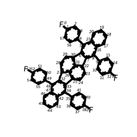 Fc1ccc(-c2c3c(c(-c4ccc(F)cc4)c4ccccc24)-c2ccc4c5c(ccc-3c25)-c2c-4c(-c3ccc(F)cc3)c3ccccc3c2-c2ccc(F)cc2)cc1